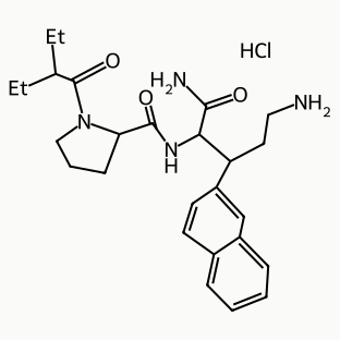 CCC(CC)C(=O)N1CCCC1C(=O)NC(C(N)=O)C(CCN)c1ccc2ccccc2c1.Cl